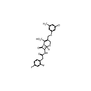 Cc1cc(Cl)cc(SCC2=C(C(=O)O)N3C(=O)C(NC(=O)Cc4ccc(F)cc4F)[C@H]3SC2)c1